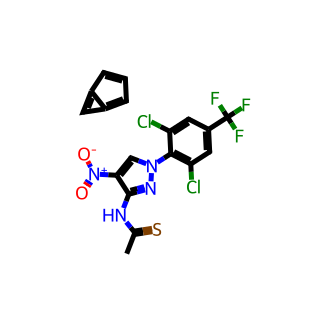 CC(=S)Nc1nn(-c2c(Cl)cc(C(F)(F)F)cc2Cl)cc1[N+](=O)[O-].c1cc2cc-2c1